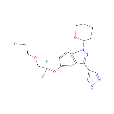 [O]CCOCC(F)(F)Oc1ccc2c(c1)c(-c1cn[nH]c1)nn2C1CCCCO1